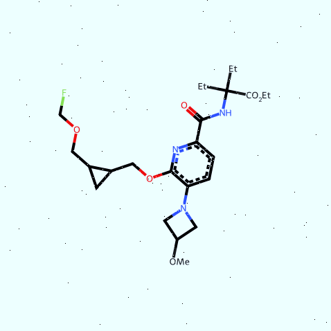 CCOC(=O)C(CC)(CC)NC(=O)c1ccc(N2CC(OC)C2)c(OCC2CC2COCF)n1